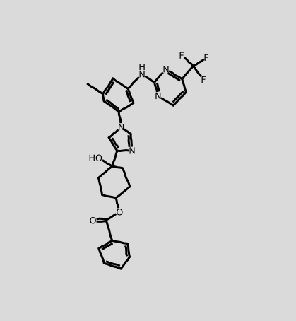 Cc1cc(Nc2nccc(C(F)(F)F)n2)cc(-n2cnc(C3(O)CCC(OC(=O)c4ccccc4)CC3)c2)c1